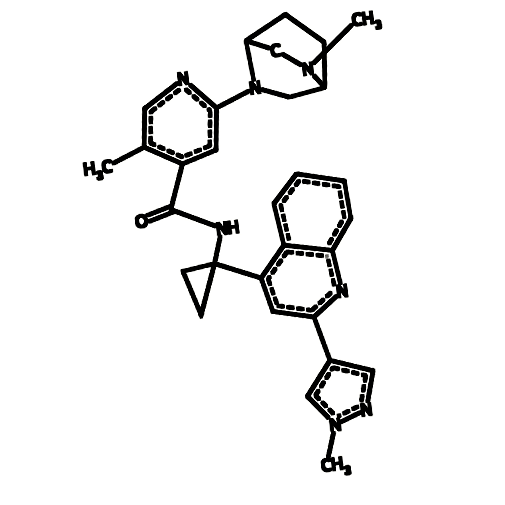 Cc1cnc(N2CC3CCC2CN3C)cc1C(=O)NC1(c2cc(-c3cnn(C)c3)nc3ccccc23)CC1